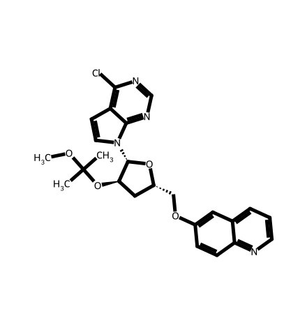 COC(C)(C)O[C@@H]1C[C@@H](COc2ccc3ncccc3c2)O[C@H]1n1ccc2c(Cl)ncnc21